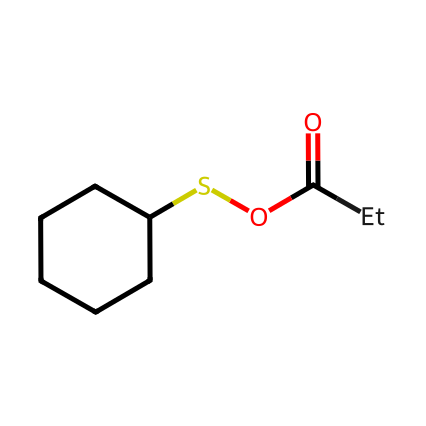 CCC(=O)OSC1CCCCC1